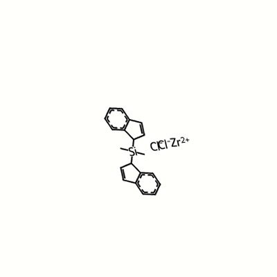 C[Si](C)(C1C=Cc2ccccc21)C1C=Cc2ccccc21.[Cl-].[Cl-].[Zr+2]